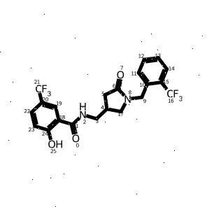 O=C(NCC1CC(=O)N(Cc2ccccc2C(F)(F)F)C1)c1cc(C(F)(F)F)ccc1O